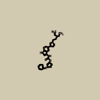 CCN(CC)CCn1cc(-c2cnc3[nH]cc(NC(=O)Oc4cnn(Cc5ccccc5)c4)c3c2)cn1